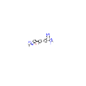 CCc1nc2c3cnncc3c3cc(-c4ccc5c(c4)COc4c-5ccc5[nH]c(C(C)C)nc45)ccc3c2[nH]1